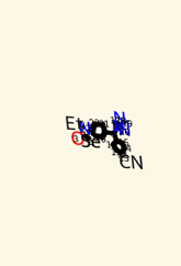 CCn1c(=O)[se]c2cc(C(c3ccc(C#N)cc3)n3cncn3)ccc21